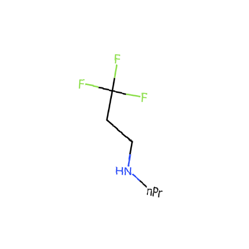 C[CH]CNCCC(F)(F)F